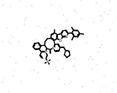 C=CC1=[N+](CC[Si](C)(C)C)C2C(=C)[n+]3ccc(CC4CCCC4)cc3-c3c(cc(C)c4c3oc3nc(-c5c(C)cc(C)cc5C)ccc34)CCC2c2ccccc21